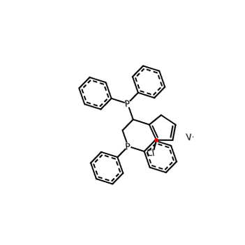 ClC1=C(C(CP(c2ccccc2)c2ccccc2)P(c2ccccc2)c2ccccc2)CC=C1.[V]